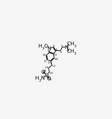 CN(C)CCc1cn(C)c2ccc(CCCS(N)(=O)=O)cc12